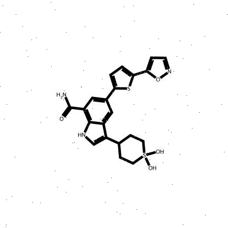 NC(=O)c1cc(-c2ccc(-c3ccno3)s2)cc2c(C3CCS(O)(O)CC3)c[nH]c12